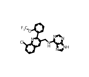 FC(F)(F)Oc1ccccc1-c1nc2c(Cl)cccc2cc1CNc1ncnc2[nH]cnc12